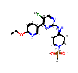 CCOc1ccc(-c2nc(NC3CCN(S(C)(=O)=O)CC3)ncc2F)cn1